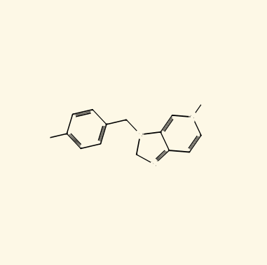 O=C(O)N1C=CC2=NCN(Cc3ccc(F)cc3)C2=C1